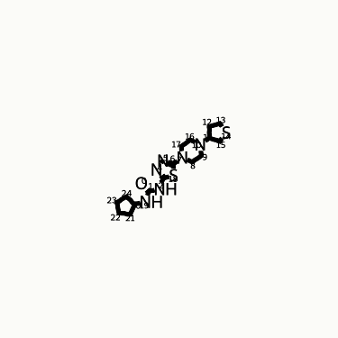 O=C(Nc1nnc(N2CCN(C3CCSC3)CC2)s1)NC1CCCC1